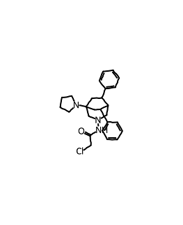 O=C(CCl)NN1CC2C(c3ccccc3)CC(N3CCCC3)(CC2c2ccccc2)C1